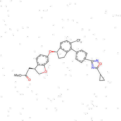 COC(=O)C[C@@H]1COc2cc(O[C@@H]3CCc4c3ccc(C(F)(F)F)c4-c3ccc(-c4noc(C5CC5)n4)cc3)ccc21